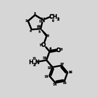 CN1CCC[C@@H]1COC(=O)C(N)c1ccccc1